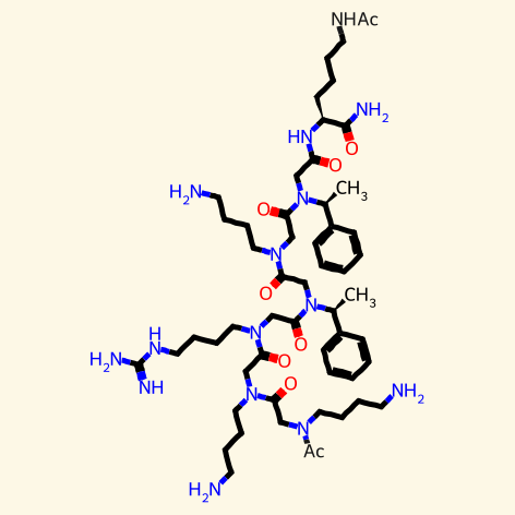 CC(=O)NCCCC[C@H](NC(=O)CN(C(=O)CN(CCCCN)C(=O)CN(C(=O)CN(CCCCNC(=N)N)C(=O)CN(CCCCN)C(=O)CN(CCCCN)C(C)=O)[C@@H](C)c1ccccc1)[C@@H](C)c1ccccc1)C(N)=O